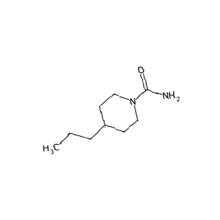 CCC[C]1CCN(C(N)=O)CC1